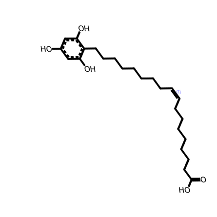 O=C(O)CCCCCCC/C=C\CCCCCCCCc1c(O)cc(O)cc1O